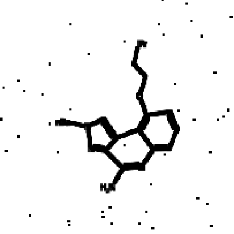 CCCCn1cc2c(n1)c(N)nc1cccc(OCCC(C)C)c12